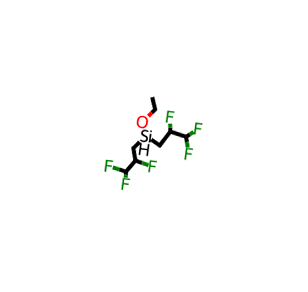 CCO[SiH](CC(F)C(F)F)CC(F)C(F)F